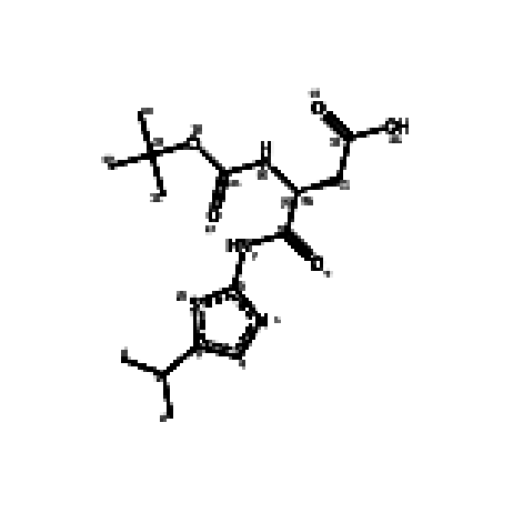 CC(C)c1cnc(NC(=O)[C@H](CC(=O)O)NC(=O)OC(C)(C)C)s1